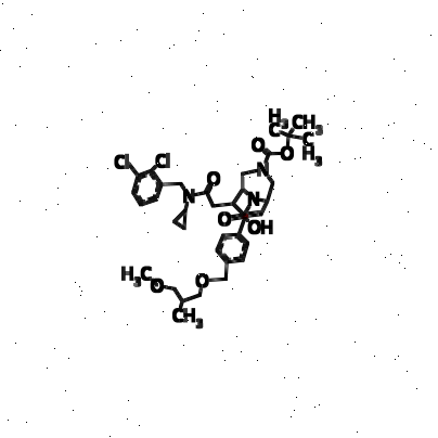 COCC(C)COCc1ccc(C2=CC3CN(C(=O)OC(C)(C)C)CC(C2CC(=O)N(Cc2cccc(Cl)c2Cl)C2CC2)N3C(=O)O)cc1